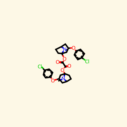 CN1C2CCC1(OC(=O)C(=O)OC13CCC(CC(Oc4ccc(Cl)cc4)C1)N3C)CC(Oc1ccc(Cl)cc1)C2